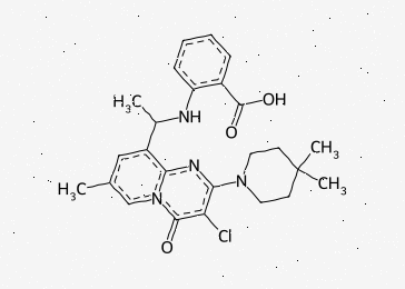 Cc1cc(C(C)Nc2ccccc2C(=O)O)c2nc(N3CCC(C)(C)CC3)c(Cl)c(=O)n2c1